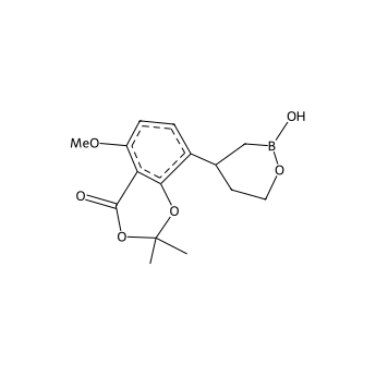 COc1ccc(C2CCOB(O)C2)c2c1C(=O)OC(C)(C)O2